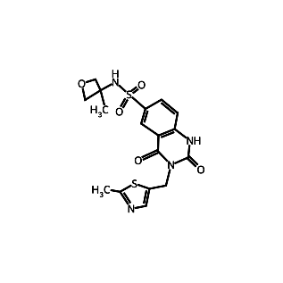 Cc1ncc(Cn2c(=O)[nH]c3ccc(S(=O)(=O)NC4(C)COC4)cc3c2=O)s1